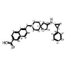 O=C(O)c1ccc2cc(CN3CCC4(CC3)CC(N[C@@H]3C[C@H]3c3ccccc3)CO4)ccc2c1